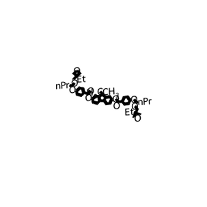 CCCC(OCC1(CC)COC1)Oc1ccc(C(=O)Oc2ccc3c(c2)C(C)(C)c2cc(OC(=O)c4ccc(OC(CCC)OCC5(CC)COC5)cc4)ccc2-3)cc1